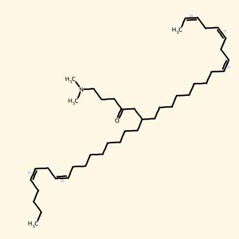 C/C=C\C/C=C\C/C=C\CCCCCCCCC(CCCCCCCC/C=C\C/C=C\CCCC)CC(=O)CCCN(C)C